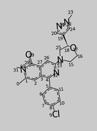 Cc1cc2c(-c3ccc(Cl)cc3)nc(N3CCO[C@H](c4cnn(C)c4)C3)cc2c(=O)n1C